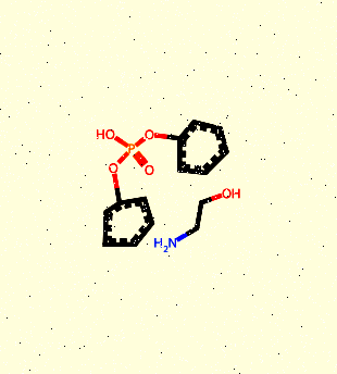 NCCO.O=P(O)(Oc1ccccc1)Oc1ccccc1